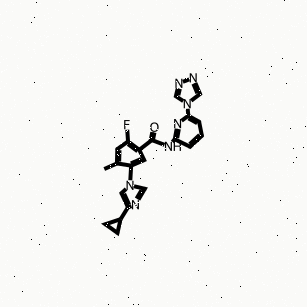 Cc1cc(F)c(C(=O)Nc2cccc(-n3cnnc3)n2)cc1-n1cnc(C2CC2)c1